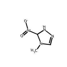 CN1C=NNC1[N+](=O)[O-]